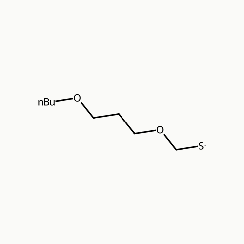 CCCCOCCCOC[S]